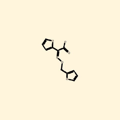 O=C(Cl)C(=NOCc1ccco1)c1ccco1